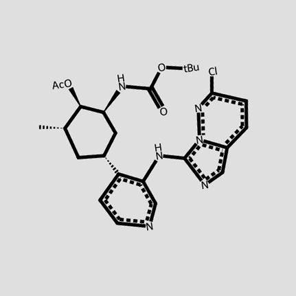 CC(=O)O[C@H]1[C@@H](NC(=O)OC(C)(C)C)C[C@H](c2ccncc2Nc2ncc3ccc(Cl)nn23)C[C@@H]1C